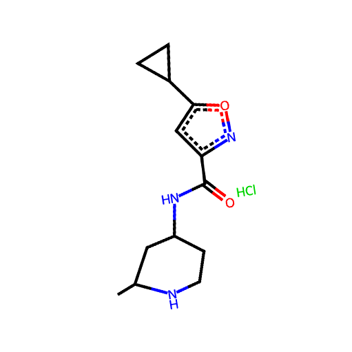 CC1CC(NC(=O)c2cc(C3CC3)on2)CCN1.Cl